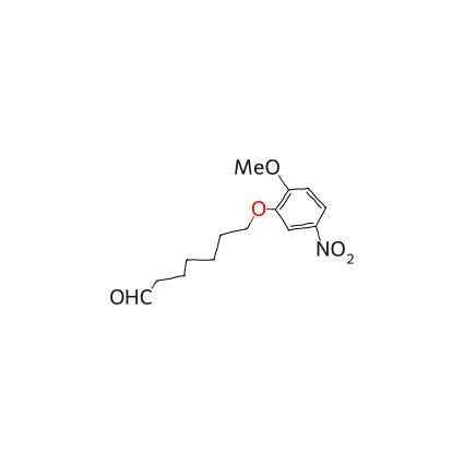 COc1ccc([N+](=O)[O-])cc1OCCCCCCC=O